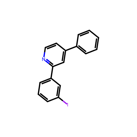 Ic1cccc(-c2cc(-c3ccccc3)ccn2)c1